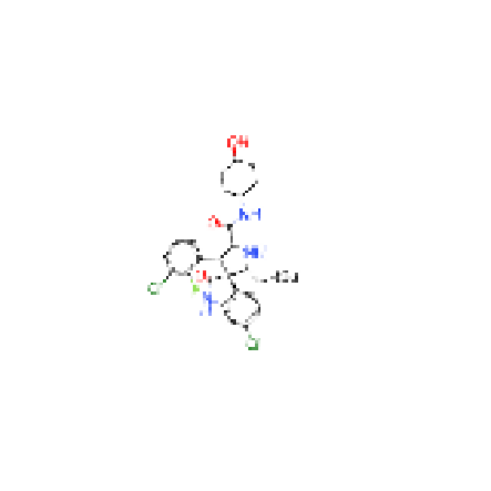 CC(C)(C)C[C@H]1N[C@H](C(=O)N[C@H]2CC[C@H](O)CC2)[C@@H](c2cccc(Cl)c2F)[C@@]12C(=O)Nc1cc(Cl)ccc12